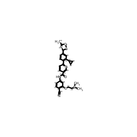 CC1=NC(c2ccc(-c3ccc(C(=O)Nc4ccc(C#N)c(OCCN(C)C)c4)cn3)c(C3CC3)c2)SO1